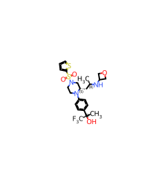 C[C@H](C[C@H]1CN(S(=O)(=O)c2cccs2)CCN1c1ccc([C@](C)(O)C(F)(F)F)cc1)NC1COC1